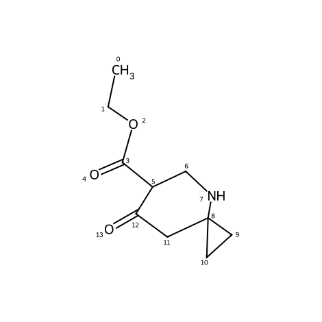 CCOC(=O)C1CNC2(CC2)CC1=O